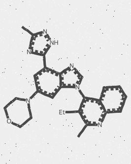 CCc1c(C)nc2ccccc2c1-n1cnc2c(-c3nc(C)n[nH]3)cc(N3CCOCC3)cc21